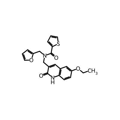 CCOc1ccc2[nH]c(=O)c(CN(Cc3ccco3)C(=O)c3cccs3)cc2c1